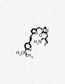 CN(C)c1ccc(C#Cc2ccc(Cn3cnn(C/C(=C/F)CN)c3=O)s2)cn1